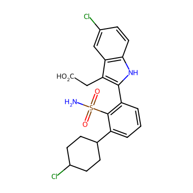 NS(=O)(=O)c1c(-c2[nH]c3ccc(Cl)cc3c2CC(=O)O)cccc1C1CCC(Cl)CC1